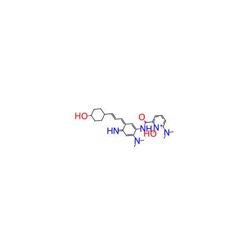 CN(C)C1=CC(=N)/C(=C\C=C\C2CCC(O)CC2)C=C1NC(=O)c1cccc(N(C)C)[n+]1O